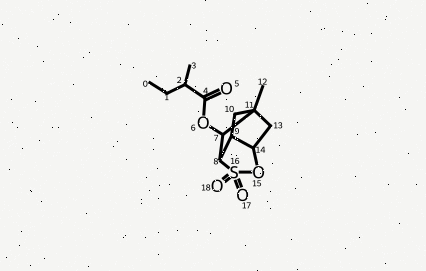 CCC(C)C(=O)OC1C2C3CC1(C)CC3OS2(=O)=O